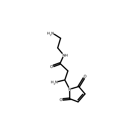 NCCNC(=O)CC(N)N1C(=O)C=CC1=O